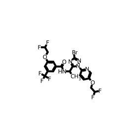 CC(NC(=O)c1cc(OCC(F)F)cc(C(F)(F)F)c1)c1nc(Br)nn1-c1ccc(OCC(F)F)cn1